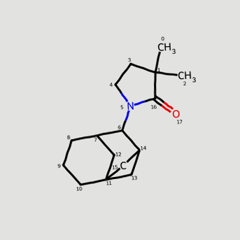 CC1(C)CCN(C2C3CCCC4(C3)CC2C4)C1=O